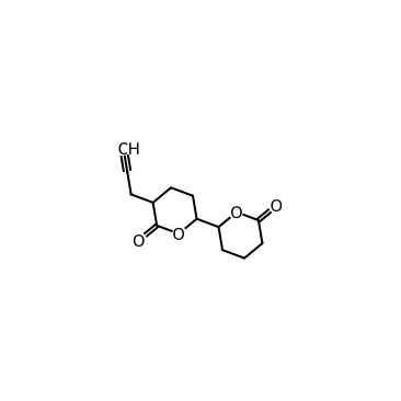 C#CCC1CCC(C2CCCC(=O)O2)OC1=O